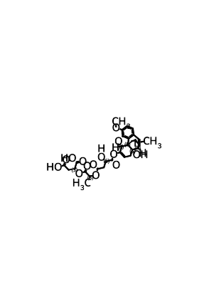 COc1ccc2c3c1O[C@H]1C(OC(=O)[C@@H](O)CC(=O)O[C@@H](C)C(=O)O[C@@H](CC(=O)O)C(=O)O)=CC[C@@]4(O)[C@@H](C2)N(C)CC[C@]314